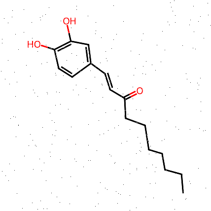 CCCCCCCC(=O)C=Cc1ccc(O)c(O)c1